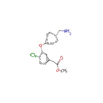 COC(=O)c1ccc(Cl)c(Oc2ccc(CN)cc2)c1